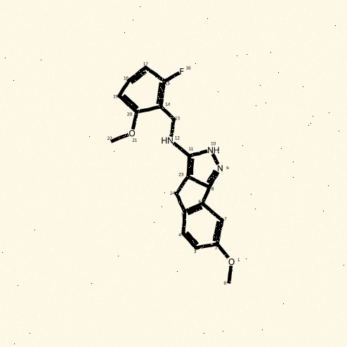 COc1ccc2c(c1)-c1n[nH]c(NCc3c(F)cccc3OC)c1C2